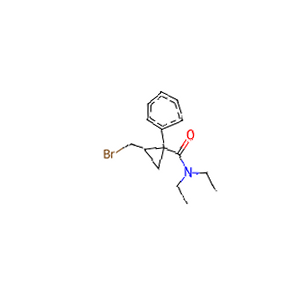 CCN(CC)C(=O)C1(c2ccccc2)CC1CBr